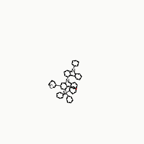 c1ccc(-c2cc([Si](c3ccccc3)(c3ccccc3)c3ccccc3)c3c4ccccc4n(-c4cccc5c4c4ccccc4n5-c4ccccc4)c3c2)cc1